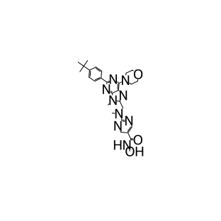 CN(Cc1nc2c(N3CCOCC3)nc(-c3ccc(C(C)(C)C)cc3)nc2n1C)c1ncc(C(=O)NO)cn1